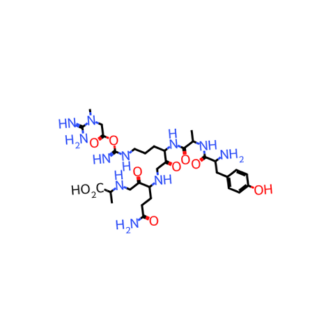 CC(NCC(=O)C(CCC(N)=O)NCC(=O)C(CCCNC(=N)OC(=O)CN(C)C(=N)N)NC(=O)C(C)NC(=O)C(N)Cc1ccc(O)cc1)C(=O)O